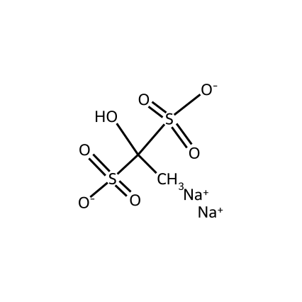 CC(O)(S(=O)(=O)[O-])S(=O)(=O)[O-].[Na+].[Na+]